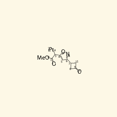 COC(=O)C(c1cc(C2CC(=O)C2)no1)C(C)C